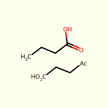 CC(=O)CCC(=O)O.CCCC(=O)O